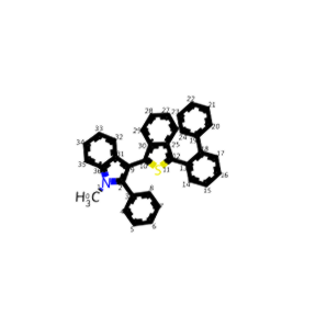 Cn1c(-c2ccccc2)c(-c2sc(-c3ccccc3-c3ccccc3)c3ccccc23)c2ccccc21